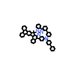 CC1(C)c2cc3c4ccccc4c4ccccc4c3cc2-c2c1c1c(c3ccccc23)c2ccc(N(c3ccc(-c4ccccc4)cc3)c3cccc(-c4ccccc4)c3)cc2n1-c1ncc2ccccc2n1